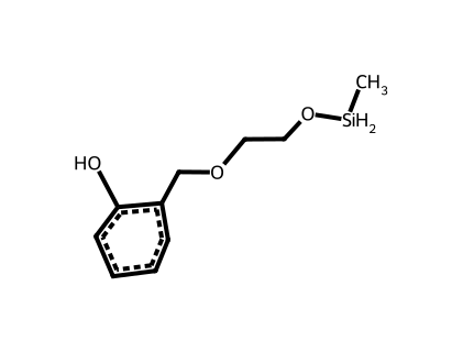 C[SiH2]OCCOCc1ccccc1O